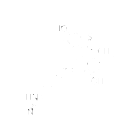 CC1(c2ccc(O)cc2)CSc2cc(O)ccc2C1CCCCCCCCCNC#N